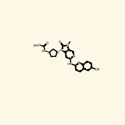 COC(=O)N[C@@H]1CC[C@@H](n2c(=O)n(C)c3cnc(Nc4ccc5cc(C#N)ccc5n4)cc32)C1